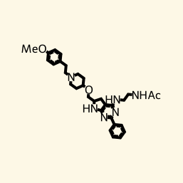 COc1ccc(CCN2CCC(OCC3Cc4c(NCCNC(C)=O)nc(-c5ccccc5)nc4N3)CC2)cc1